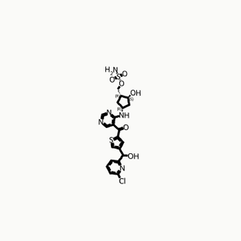 NS(=O)(=O)OC[C@H]1C[C@@H](Nc2ncncc2C(=O)c2cc(C(O)c3cccc(Cl)n3)cs2)C[C@@H]1O